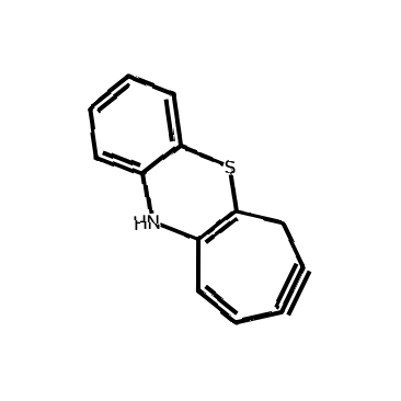 C1#CCC2=C(C=C1)Nc1ccccc1S2